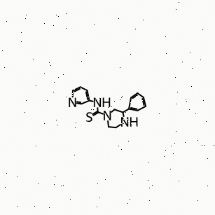 S=C(Nc1cccnc1)N1CCNC(c2ccccc2)C1